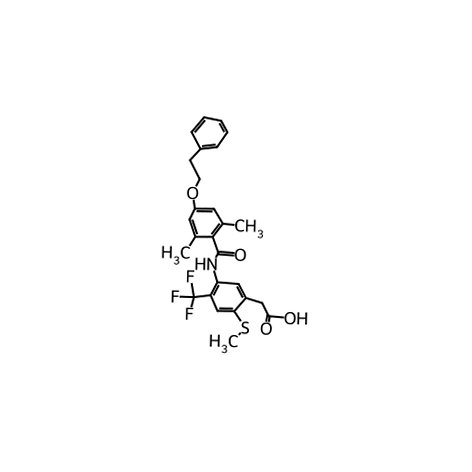 CSc1cc(C(F)(F)F)c(NC(=O)c2c(C)cc(OCCc3ccccc3)cc2C)cc1CC(=O)O